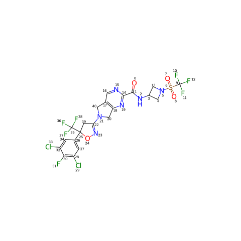 O=C(NC1CN(S(=O)(=O)C(F)(F)F)C1)c1ncc2c(n1)CN(C1=NOC(c3cc(Cl)c(F)c(Cl)c3)(C(F)(F)F)C1)C2